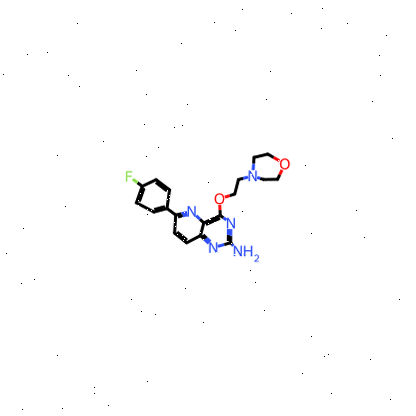 Nc1nc(OCCN2CCOCC2)c2nc(-c3ccc(F)cc3)ccc2n1